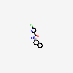 O=C(N[C@H]1CCc2ccccc2C1)c1ccc(Cl)nc1